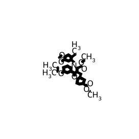 CCOC(=O)c1cccc(Cc2c(C(=O)OCC)n(Cc3cc4c(cc3CC)OCO4)c3ccc(OC(C)CC)cc3c2=O)c1